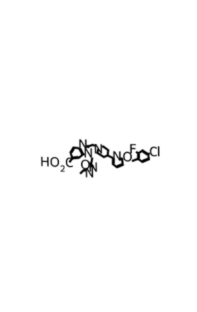 Cc1nnc(Cn2c(CN3CCC(c4cccc(OCc5ccc(Cl)cc5F)n4)CC3)nc3ccc(C(=O)O)cc32)o1